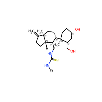 C=C1CC[C@H]2[C@H](CNC(=S)NCC)[C@@H]([C@@]3(C)CC[C@H](O)C[C@@H]3CO)CC[C@]12C